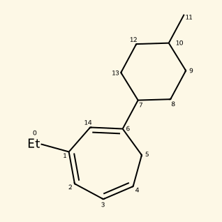 CCC1=CC=CCC(C2CCC(C)CC2)=C1